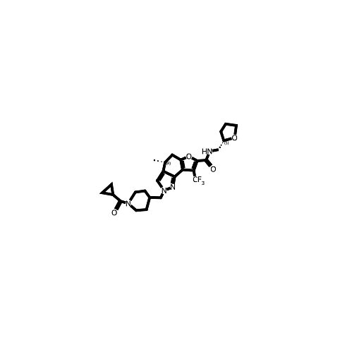 C[C@@H]1Cc2oc(C(=O)NC[C@@H]3CCCO3)c(C(F)(F)F)c2-c2nn(CC3CCN(C(=O)C4CC4)CC3)cc21